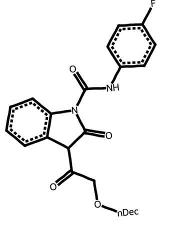 CCCCCCCCCCOCC(=O)C1C(=O)N(C(=O)Nc2ccc(F)cc2)c2ccccc21